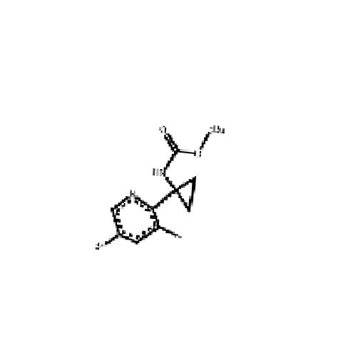 CC(C)(C)OC(=O)NC1(c2ncc(Br)cc2F)CC1